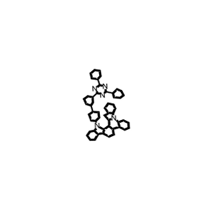 c1ccc(-c2nc(-c3ccccc3)nc(-c3cccc(-c4ccc(-n5c6ccccc6c6ccc7c8ccccc8n8c9ccccc9cc8c7c65)cc4)c3)n2)cc1